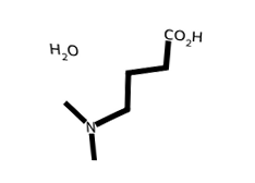 CN(C)CCCC(=O)O.O